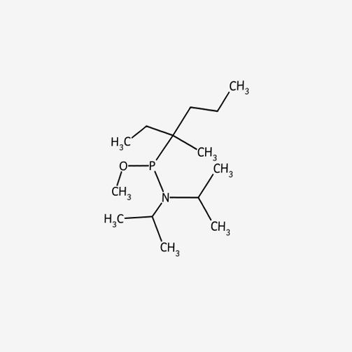 CCCC(C)(CC)P(OC)N(C(C)C)C(C)C